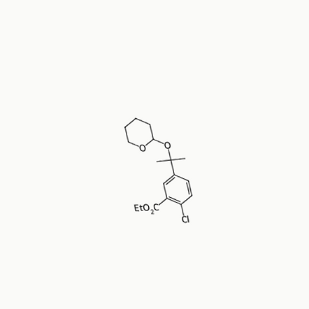 CCOC(=O)c1cc(C(C)(C)OC2CCCCO2)ccc1Cl